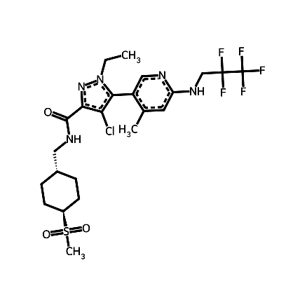 CCn1nc(C(=O)NC[C@H]2CC[C@H](S(C)(=O)=O)CC2)c(Cl)c1-c1cnc(NCC(F)(F)C(F)(F)F)cc1C